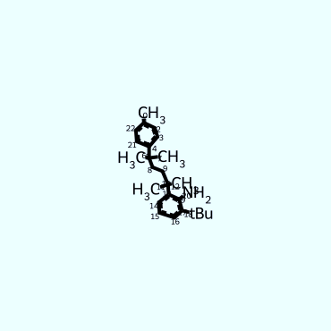 Cc1ccc(C(C)(C)CCC(C)(C)c2cccc(C(C)(C)C)c2N)cc1